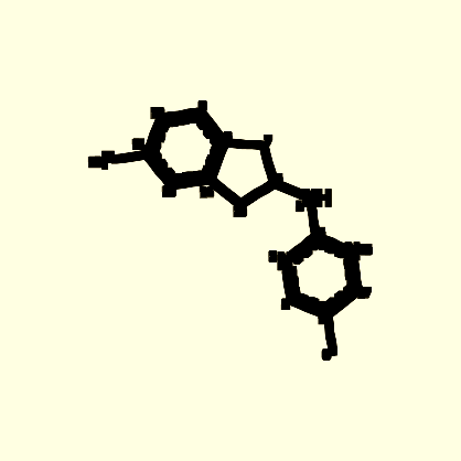 Cc1cnc(NC2Cc3ccc(F)cc3C2)nc1